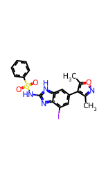 Cc1noc(C)c1-c1cc(I)c2nc(NS(=O)(=O)c3ccccc3)[nH]c2c1